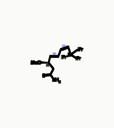 CO[C@@H](/C=C/C=C\[Si](C(C)C)(C(C)C)C(C)C)CC(N)=S